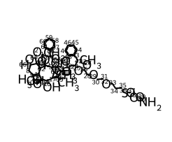 CC(=O)O[C@@]12CO[C@@H]1C[C@H](O)[C@@]1(C)C(=O)[C@H](O)C3=C(C)[C@@H](OC(=O)[C@H](OC(=O)COCCOCCCSOOON)[C@@H](C)c4ccccc4)C[C@@](O)([C@@H](OC(=O)c4ccccc4)[C@H]21)C3(C)C